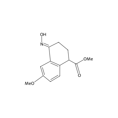 COC(=O)C1CCC(=NO)c2cc(OC)ccc21